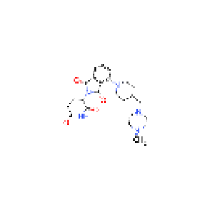 C=[N+]1CCN(CC2CCN(c3cccc4c3C(=O)N(C3CCC(=O)NC3=O)C4=O)CC2)CC1